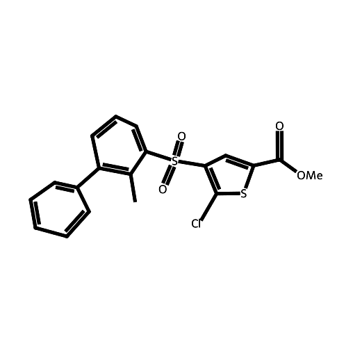 COC(=O)c1cc(S(=O)(=O)c2cccc(-c3ccccc3)c2C)c(Cl)s1